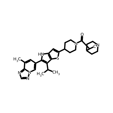 Cc1cc(-c2[nH]c3cc(C4CCN(C(=O)C5CN6CCC5CC6)CC4)sc3c2C(C)C)cn2ncnc12